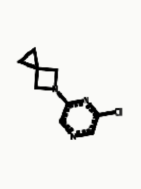 Clc1cncc(N2CC3(CC3)C2)n1